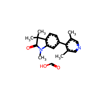 Cc1cncc(C)c1-c1ccc2c(c1)N(C)C(=O)C2(C)C.O=CO